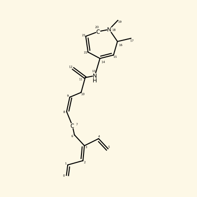 C=C/C=C(/C=C)CC/C=C\CC(=C)NC1=CC(C)N(C)CC=C1